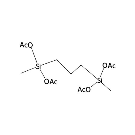 CC(=O)O[Si](C)(CCC[Si](C)(OC(C)=O)OC(C)=O)OC(C)=O